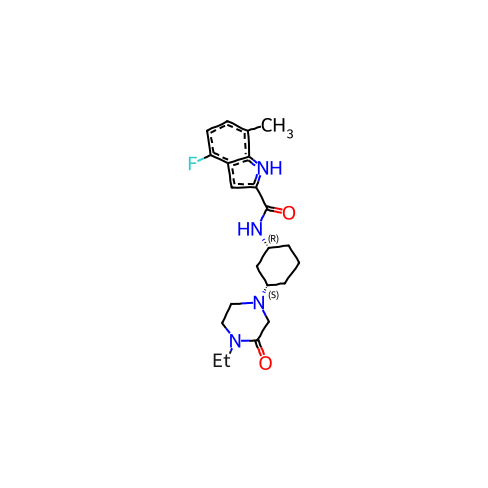 CCN1CCN([C@H]2CCC[C@@H](NC(=O)c3cc4c(F)ccc(C)c4[nH]3)C2)CC1=O